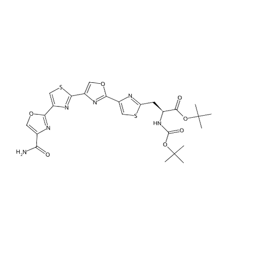 CC(C)(C)OC(=O)N[C@@H](Cc1nc(-c2nc(-c3nc(-c4nc(C(N)=O)co4)cs3)co2)cs1)C(=O)OC(C)(C)C